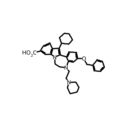 O=C(O)c1ccc2c(C3CCCCC3)c3n(c2c1)CCN(CCN1CCCCC1)c1cc(OCc2ccccc2)ccc1-3